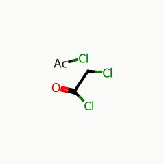 CC(=O)Cl.O=C(Cl)CCl